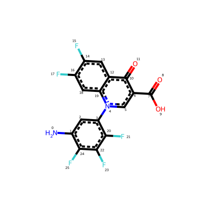 Nc1cc(-n2cc(C(=O)O)c(=O)c3cc(F)c(F)cc32)c(F)c(F)c1F